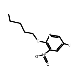 CCCCCOc1ncc(Cl)cc1[N+](=O)[O-]